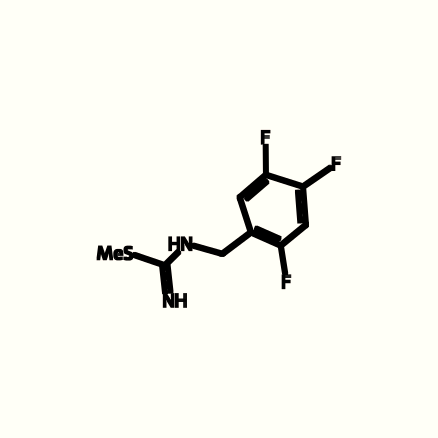 CSC(=N)NCc1cc(F)c(F)cc1F